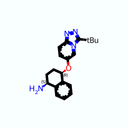 CC(C)(C)c1nnc2ccc(O[C@@H]3CC[C@H](N)c4ccccc43)cn12